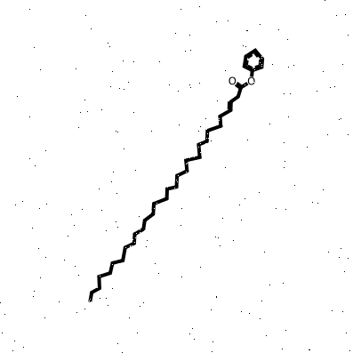 CCCCCCCCCCCCCCCCCCCCCCCCCCC=CCC(=O)Oc1ccccc1